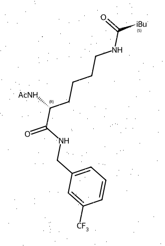 CC[C@H](C)C(=O)NCCCC[C@@H](NC(C)=O)C(=O)NCc1cccc(C(F)(F)F)c1